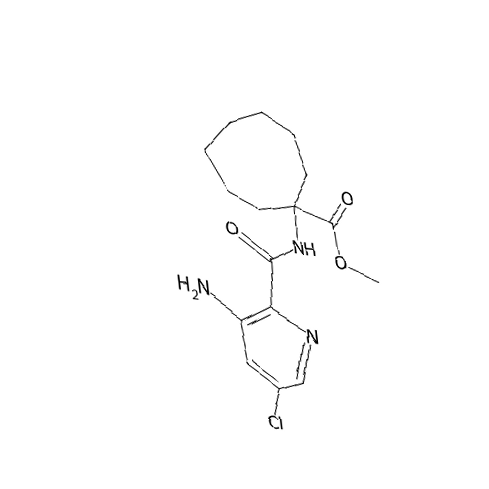 COC(=O)C1(NC(=O)c2ncc(Cl)cc2N)CCCCCCC1